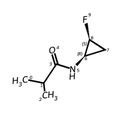 CC(C)C(=O)N[C@@H]1C[C@@H]1F